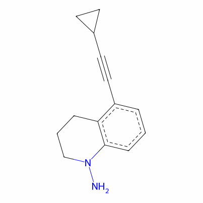 NN1CCCc2c(C#CC3CC3)cccc21